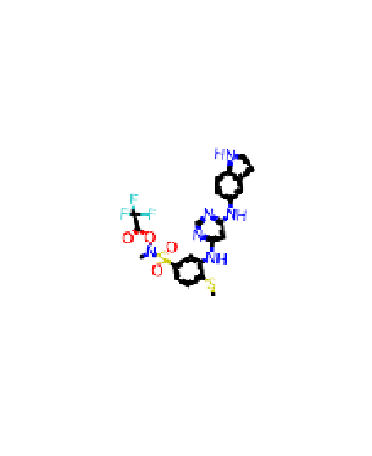 CSc1ccc(S(=O)(=O)N(C)OC(=O)C(F)(F)F)cc1Nc1cc(Nc2ccc3[nH]ccc3c2)ncn1